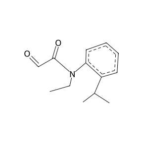 CCN(C(=O)C=O)c1ccccc1C(C)C